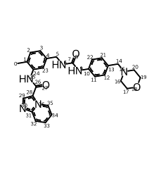 Cc1ccc(CNC(=O)Nc2ccc(CN3CCOCC3)cc2)cc1NC(=O)c1cnc2ccccn12